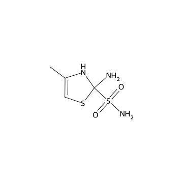 CC1=CSC(N)(S(N)(=O)=O)N1